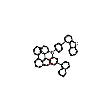 c1ccc(-c2cccc3cccc(-c4ccccc4N(c4ccc(-c5cccc6oc7ccccc7c56)cc4)c4cccc(-c5cccc6ccccc56)c4)c23)cc1